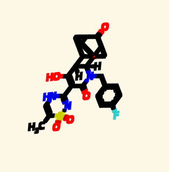 CC1=CNC(C2=C(O)[C@@H]3C4C5C6C(=O)C7C4C7C(C65)[C@@H]3N(Cc3ccc(F)cc3)C2=O)=NS1(=O)=O